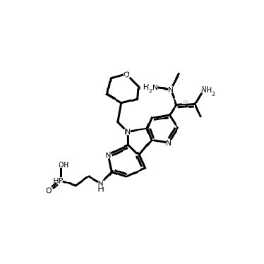 C/C(N)=C(\c1cnc2c3ccc(NCC[PH](=O)O)nc3n(CC3CCOCC3)c2c1)N(C)N